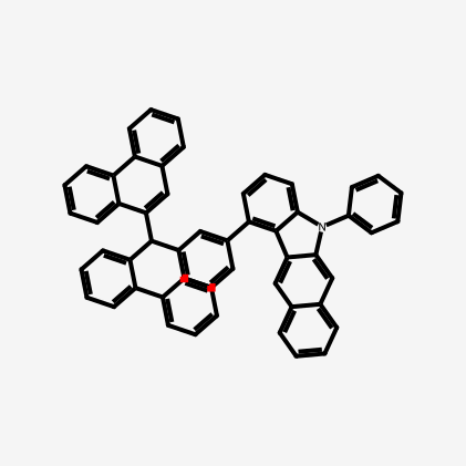 c1ccc(-c2ccccc2C(c2cccc(-c3cccc4c3c3cc5ccccc5cc3n4-c3ccccc3)c2)c2cc3ccccc3c3ccccc23)cc1